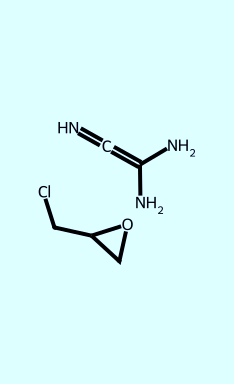 ClCC1CO1.N=C=C(N)N